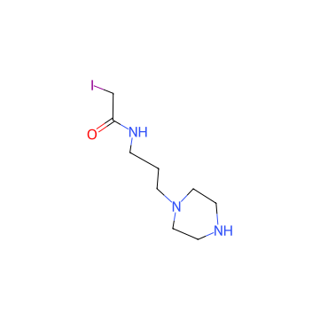 O=C(CI)NCCCN1CCNCC1